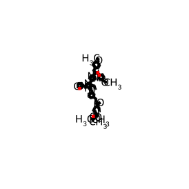 COc1ccc(CN(Cc2ccc(OC)cc2)c2ncc(-c3nc(N4CCOCC4)nc4c3CCN4c3cccc(CCC(=O)N4CCN(C(=O)OC(C)(C)C)CC4)c3)cn2)cc1